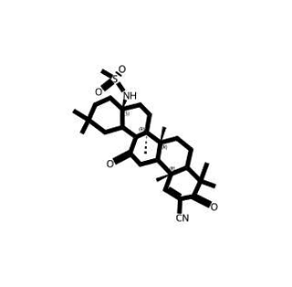 CC1(C)CC[C@]2(NS(C)(=O)=O)CC[C@]3(C)C(C(=O)CC4[C@@]5(C)C=C(C#N)C(=O)C(C)(C)C5CC[C@]43C)C2C1